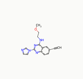 C#Cc1ccc2nc(-n3ccnc3)nc(NCCOC)c2c1